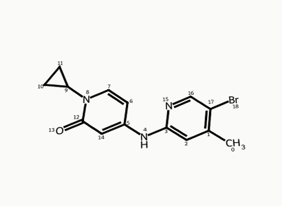 Cc1cc(Nc2ccn(C3CC3)c(=O)c2)ncc1Br